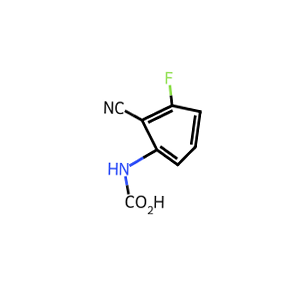 N#Cc1c(F)cccc1NC(=O)O